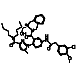 CCCCN(CCCC)C(=O)c1cc(C)n(-c2ccc(NC(=O)Cc3ccc(OC)c(Cl)c3)cc2C(=O)N2Cc3ccccc3C[C@H]2CO)n1